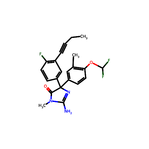 CCC#Cc1cc(C2(c3ccc(OC(F)F)c(C)c3)N=C(N)N(C)C2=O)ccc1F